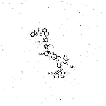 Cc1c(-c2ccc(N3CCc4cccc(C(=O)Nc5nc6ccccc6s5)c4C3)nc2C(=O)O)cnn1CC12CC3(C)CC(C)(C1)CC(OCCN(CCC(O)CO)C(=O)OCc1ccc(O[C@@H]4O[C@H](C(=O)O)[C@@H](O)[C@H](O)[C@H]4O)cc1OCCOCCN)(C3)C2